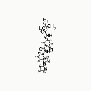 CC(C)(C)CC(=O)NCc1ccc(Cl)c(C(=O)Nc2cccc3c2cnn3-c2nccs2)c1